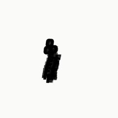 O=C1OCC(CC(F)(F)C(F)(F)C(F)(F)C(F)(F)C(F)(F)C(F)(F)F)O1